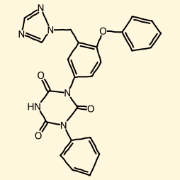 O=c1[nH]c(=O)n(-c2ccc(Oc3ccccc3)c(Cn3cncn3)c2)c(=O)n1-c1ccccc1